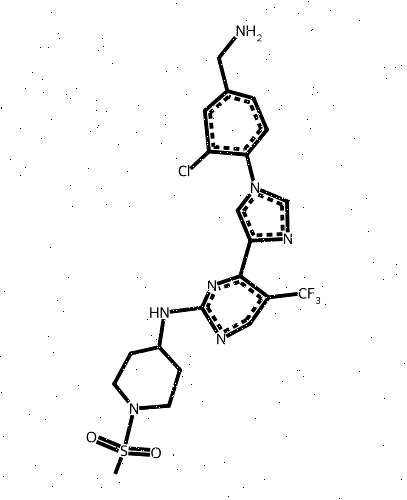 CS(=O)(=O)N1CCC(Nc2ncc(C(F)(F)F)c(-c3cn(-c4ccc(CN)cc4Cl)cn3)n2)CC1